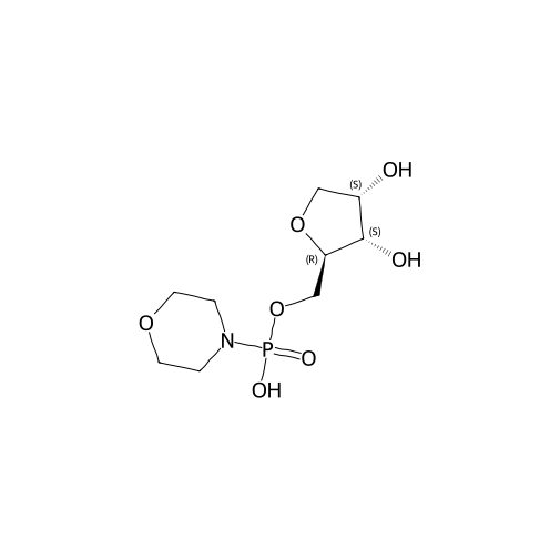 O=P(O)(OC[C@H]1OC[C@H](O)[C@@H]1O)N1CCOCC1